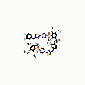 Cc1cc(C)c(C)c(S(=O)(=O)N2CCN(c3nc(Cc4ccc(F)c(F)c4)cs3)CC2)c1C.Cc1ccc(Cc2csc(N3CCN(S(=O)(=O)c4c(C)c(C)cc(C)c4C)CC3)n2)cc1C